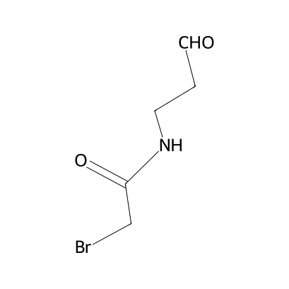 O=CCCNC(=O)CBr